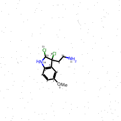 COc1ccc2c(c1)C(Cl)(CCN)C(Cl)N2